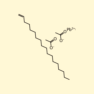 C=CCCCCCCCCCCCCCCCC.CC(=O)[O-].CC(=O)[O-].[Pb+2]